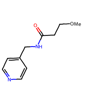 COCCC(=O)NCc1ccncc1